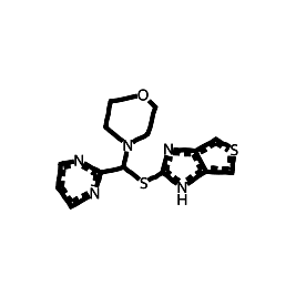 c1cnc(C(Sc2nc3cscc3[nH]2)N2CCOCC2)nc1